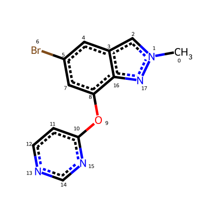 Cn1cc2cc(Br)cc(Oc3ccncn3)c2n1